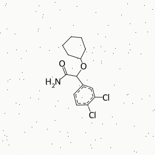 NC(=O)C(OC1CCCCC1)c1ccc(Cl)c(Cl)c1